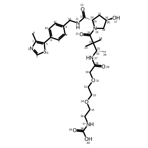 Cc1ncsc1-c1ccc(CNC(=O)[C@@H]2C[C@@H](O)CN2C(=O)C(C)(C)[C@H](C)NC(=O)COCCOCCNC(=O)O)cc1